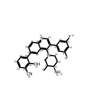 CC1CN(c2c(-c3cc(F)cc(F)c3)cnc3ccc(-c4cccc(C#N)c4O)cc23)CC[C@H]1N